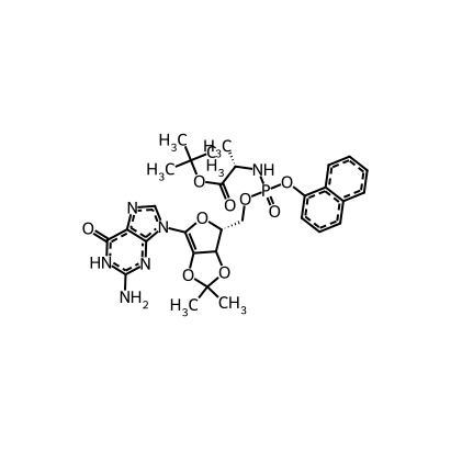 C[C@H](NP(=O)(OC[C@H]1OC(n2cnc3c(=O)[nH]c(N)nc32)=C2OC(C)(C)OC21)Oc1cccc2ccccc12)C(=O)OC(C)(C)C